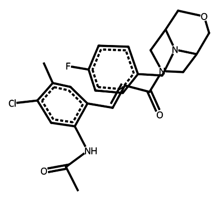 CC(=O)Nc1cc(Cl)c(C)cc1/C=C/C(=O)N1CC2COCC(C1)N2Cc1ccc(F)cc1